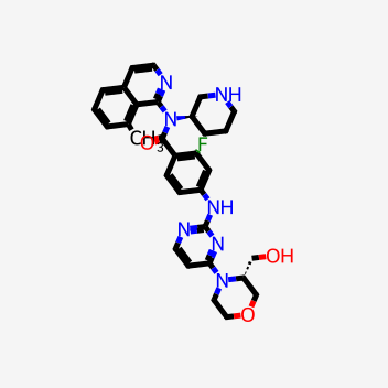 Cc1cccc2ccnc(N(C(=O)c3ccc(Nc4nccc(N5CCOC[C@H]5CO)n4)cc3F)[C@@H]3CCCNC3)c12